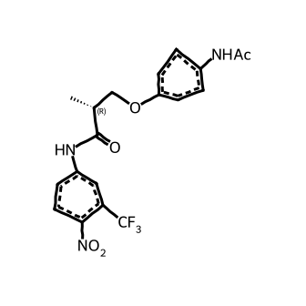 CC(=O)Nc1ccc(OC[C@@H](C)C(=O)Nc2ccc([N+](=O)[O-])c(C(F)(F)F)c2)cc1